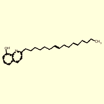 CCCCCCCCC=CCCCCCCc1ccc2cccc(O)c2n1